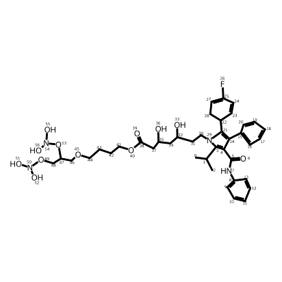 CC(C)c1c(C(=O)Nc2ccccc2)c(-c2ccccc2)c(C2C=CC(F)=CC2)n1CCC(O)CC(O)CC(=O)OCCCCOCC(CON(O)O)ON(O)O